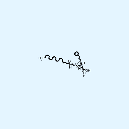 CC/C=C\C/C=C\C/C=C\C/C=C\C/C=C\C/C=C\CCC(=O)NCCSSC(C)(C)[C@@H](CNC(CO)CO)NCCCCc1ccccc1